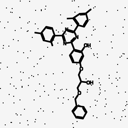 Cc1ccc(-c2nc(-c3ccc(C)cc3C)nc(-c3ccc(OCC(O)COCc4ccccc4)cc3O)n2)c(C)c1